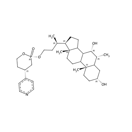 C[C@H](CCO[P@]1(=O)C[C@H](c2ccncc2)CCO1)[C@H]1CCC2C3C(CC[C@@]21C)[C@@]1(C)CC[C@@H](O)CC1[C@@H](C)[C@H]3O